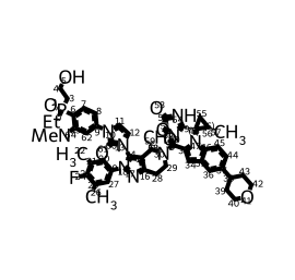 CCP(=O)(CCO)c1ccc(-n2ccn(-c3c4c(nn3-c3cc(C)c(F)c(C)c3)CCN(C(=O)c3cc5cc(C6CCOCC6)ccc5n3[C@@]3(c5noc(=O)[nH]5)C[C@@H]3C)[C@H]4C)c2=O)cc1NC